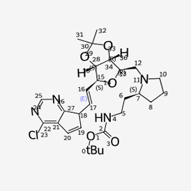 CC(C)(C)OC(=O)NCC[C@@H]1CCCN1C[C@H]1O[C@@H](/C=C/C2C=Cc3c(Cl)ncnc32)[C@@H]2OC(C)(C)O[C@@H]21